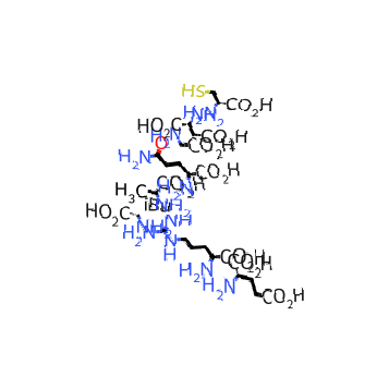 CC[C@H](C)[C@H](N)C(=O)O.C[C@H](N)C(=O)O.N=C(N)NCCC[C@H](N)C(=O)O.NC(=O)CC[C@H](N)C(=O)O.NCC(=O)O.N[C@@H](CC(=O)O)C(=O)O.N[C@@H](CCC(=O)O)C(=O)O.N[C@@H](CS)C(=O)O